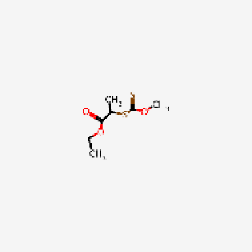 CCOC(=O)C(C)SC(=S)OC